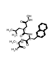 CC(C)C[C@@H](CC(=O)NO)C(=O)N[C@@H](Cc1ccc2ccccc2c1)C(=O)N[C@@H](C)C(N)=O